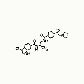 CC(CNC(=O)c1ccc(C2(CN3CCCC3)CC2)cc1)NC(=O)c1ccc2c(Cl)c[nH]c2c1